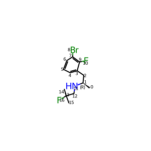 C[C@H](Cc1cccc(Br)c1F)NCC(C)(C)F